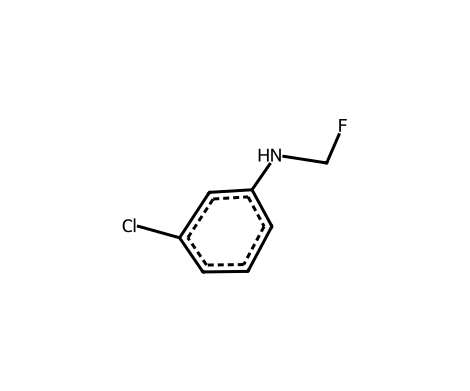 FCNc1cccc(Cl)c1